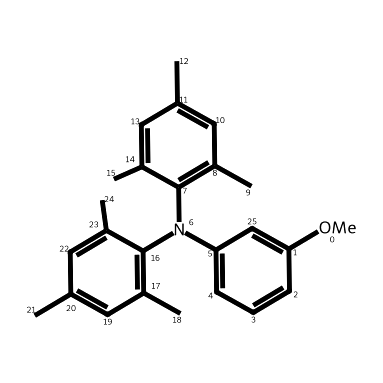 COc1cccc(N(c2c(C)cc(C)cc2C)c2c(C)cc(C)cc2C)c1